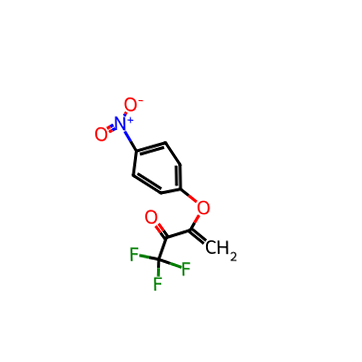 C=C(Oc1ccc([N+](=O)[O-])cc1)C(=O)C(F)(F)F